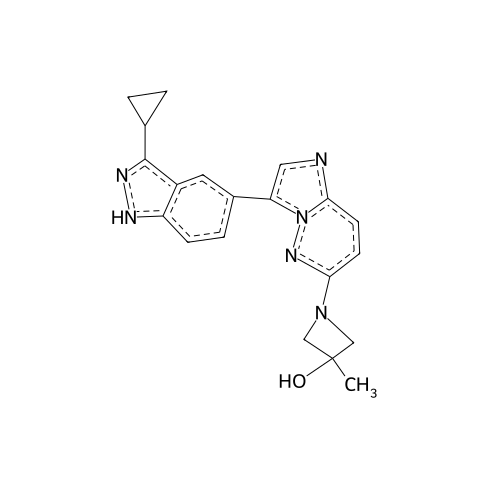 CC1(O)CN(c2ccc3ncc(-c4ccc5[nH]nc(C6CC6)c5c4)n3n2)C1